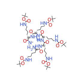 CN(C)C(=O)[C@H](CCCCNC(=O)OC(C)(C)C)NC(=O)[C@H](CCCCNC(=O)OC(C)(C)C)NC(=O)[C@H](CCCCNC(=O)OC(C)(C)C)NC(=O)[C@H](CCCCNC(=O)OC(C)(C)C)NC(=O)[C@@H](N)CCCCNC(=O)OC(C)(C)C